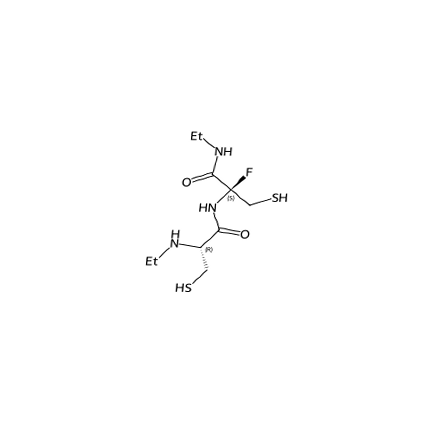 CCNC(=O)[C@](F)(CS)NC(=O)[C@H](CS)NCC